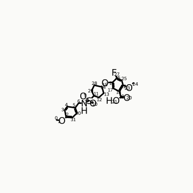 COc1ccc(CNS(=O)(=O)C2CCC(Oc3cc(C(=O)O)c(OC)cc3F)CC2)cc1